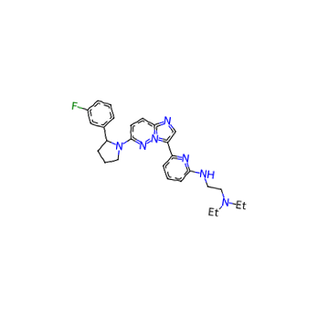 CCN(CC)CCNc1cccc(-c2cnc3ccc(N4CCCC4c4cccc(F)c4)nn23)n1